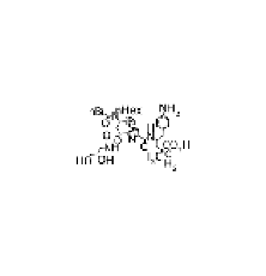 CCCCCCN(C(=O)CCCC)C(CC(OC(=O)NCC(O)CO)c1nc(C(=O)NC(Cc2ccc(N)cc2)CC(C)(C)C(=O)O)cs1)C(C)C